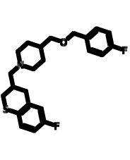 Fc1ccc(COCC2CCN(CC3CSc4ccc(F)cc4C3)CC2)cc1